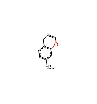 CC(C)(C)c1ccc2c(c1)OC=CC2